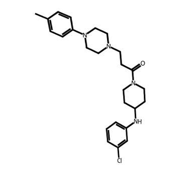 Cc1ccc(N2CCN(CCC(=O)N3CCC(Nc4cccc(Cl)c4)CC3)CC2)cc1